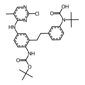 Cc1cnc(Cl)nc1Nc1ccc(NC(=O)OC(C)(C)C)c(CCc2cccc(N(C(=O)O)C(C)(C)C)c2)c1